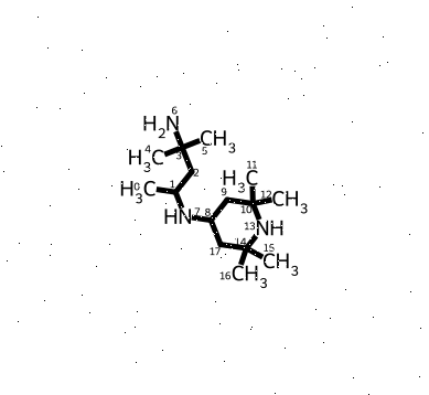 CC(CC(C)(C)N)NC1CC(C)(C)NC(C)(C)C1